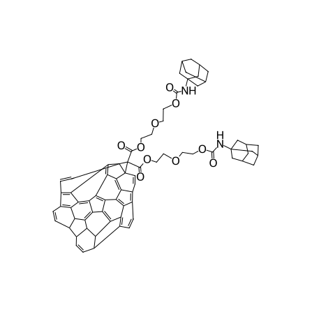 O=C(NC12CC3CC(CC(C3)C1)C2)OCCOCCOC(=O)C1(C(=O)OCCOCCOC(=O)NC23CC4CC(CC(C4)C2)C3)C23C=Cc4c5c6c7c4c2c2c4c8c(c9ccc%10c%11c%12c%13c(c7c2c%13c8c9%11)=C2C6C(C=C5)C5C=CC%10C%12C25)C=CC413